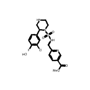 COC(=O)c1ccc(CNS(=O)(=O)N2CCNCC2c2ccc(F)c(Cl)c2)nc1.Cl